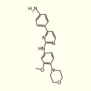 COc1cc(Nc2nccc(-c3ccc(N)cc3)n2)ccc1N1CCOCC1